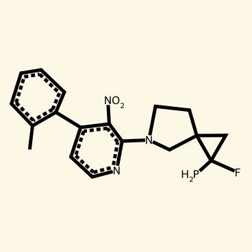 Cc1ccccc1-c1ccnc(N2CCC3(C2)CC3(F)P)c1[N+](=O)[O-]